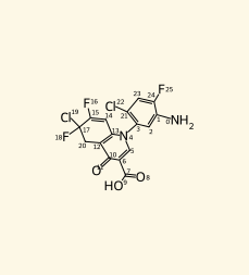 Nc1cc(-n2cc(C(=O)O)c(=O)c3c2C=C(F)C(F)(Cl)C3)c(Cl)cc1F